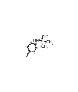 CCCC(C)(C)Nc1ccc(F)cc1